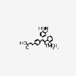 CCC(=C(c1ccc(C=CC(=O)O)cc1)c1ccc2[nH]ncc2c1)c1ccccc1OC